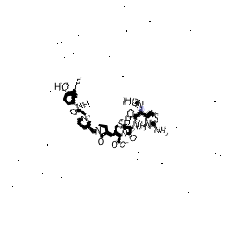 Nc1nc(/C(=N/O)C(=O)N[C@@H]2C(=O)N3C(C(=O)[O-])=C(C=C4CCN(Cc5ccc[n+](CC(=O)Nc6ccc(O)c(F)c6)c5)C4=O)CS[C@H]23)cs1